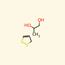 C1=CSSC1.CC(O)CO